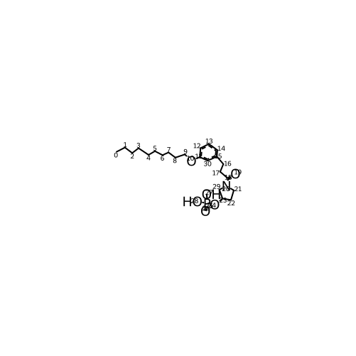 CCCCCCCCCCOc1cccc(CCC(=O)N2CCC(OP(=O)(O)O)C2)c1